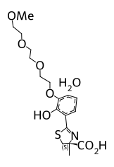 COCCOCCOCCOc1cccc(C2=N[C@@](C)(C(=O)O)CS2)c1O.O